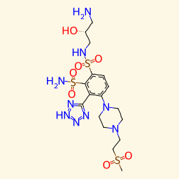 CS(=O)(=O)CCN1CCN(c2ccc(S(=O)(=O)NC[C@H](O)CN)c(S(N)(=O)=O)c2-c2nn[nH]n2)CC1